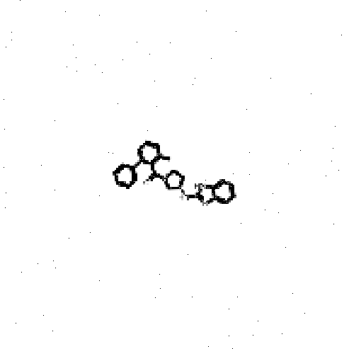 Cc1cccc(-c2ccccc2)c1C(=O)N1CC[C@@H](Nc2nc3ccccc3[nH]2)C1